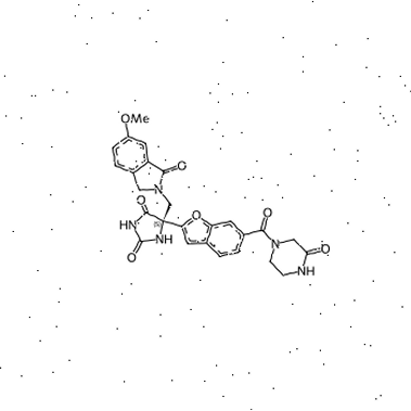 COc1ccc2c(c1)C(=O)N(C[C@@]1(c3cc4ccc(C(=O)N5CCNC(=O)C5)cc4o3)NC(=O)NC1=O)C2